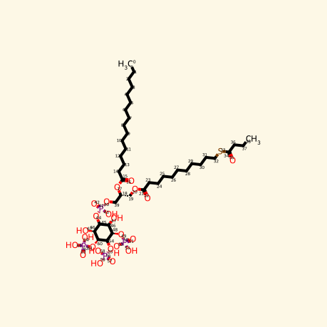 CCCCCCCCCCCCCCCC(=O)O[C@H](COC(=O)CCCCCCCCCCSC(=O)CCC)COP(=O)(O)OC1C(O)[C@@H](OP(=O)(O)O)C(OP(=O)(O)O)[C@@H](OP(=O)(O)O)[C@H]1O